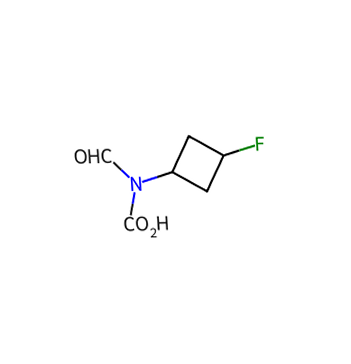 O=CN(C(=O)O)C1CC(F)C1